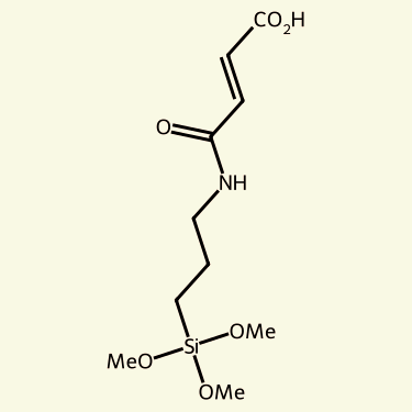 CO[Si](CCCNC(=O)C=CC(=O)O)(OC)OC